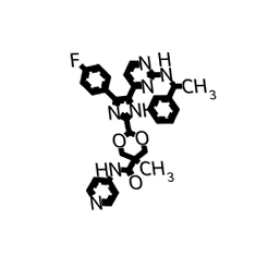 CC(Nc1nccc(-c2[nH]c(C3OCC(C)(C(=O)Nc4ccncc4)CO3)nc2-c2ccc(F)cc2)n1)c1ccccc1